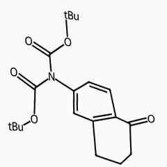 CC(C)(C)OC(=O)N(C(=O)OC(C)(C)C)c1ccc2c(c1)CCCC2=O